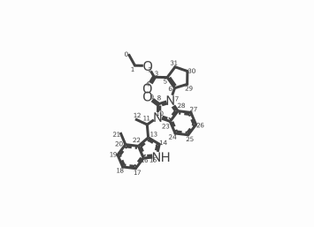 CCOC(=O)C1=C(n2c(=O)n(C(C)c3c[nH]c4cccc(C)c34)c3ccccc32)CCC1